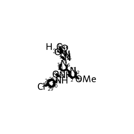 COc1ccc(C2CN(c3cn(S(C)(=O)=O)nn3)CCC2NC(=O)Nc2ccc(Cl)cc2)nc1